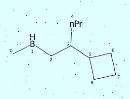 CBCC(CCC)C1CCC1